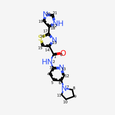 O=C(Nc1ccc(N2CCCC2)cn1)c1csc(-c2cnc[nH]2)n1